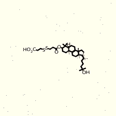 C[C@H](CCCC(C)(C)O)[C@H]1CC[C@@]2(C)C3=C(CC[C@]12C)[C@@]1(C)CCC(OC(=O)CCSSCCC(=O)O)C(C)(C)[C@@H]1CC3